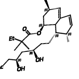 CCC(C)(C)C(=O)O[C@H]1C[C@@H](C)C=C2C=C[C@H](C)[C@H](CC[C@@H](O)C[C@@H](O)CC(C)=O)C21